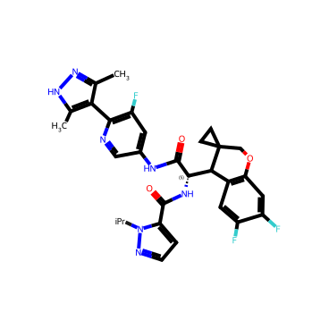 Cc1n[nH]c(C)c1-c1ncc(NC(=O)[C@@H](NC(=O)c2ccnn2C(C)C)C2c3cc(F)c(F)cc3OCC23CC3)cc1F